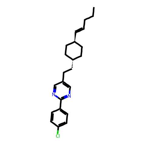 CCC/C=C/[C@H]1CC[C@H](CCc2cnc(-c3ccc(Cl)cc3)nc2)CC1